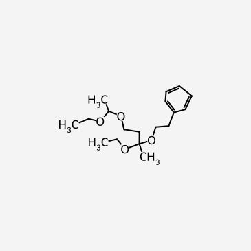 CCOC(C)OCCC(C)(OCC)OCCc1ccccc1